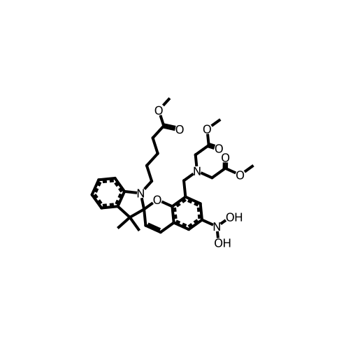 COC(=O)CCCCN1c2ccccc2C(C)(C)C12C=Cc1cc(N(O)O)cc(CN(CC(=O)OC)CC(=O)OC)c1O2